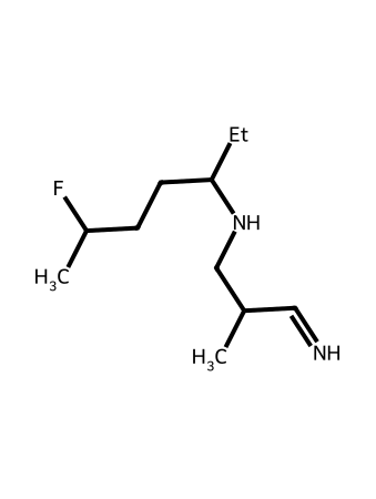 CCC(CCC(C)F)NCC(C)C=N